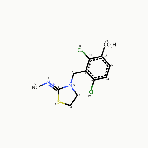 N#C/N=C1\SCCN1Cc1c(Cl)ccc(C(=O)O)c1Cl